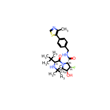 Cc1ncsc1-c1ccc(CNC(=O)[C@@H]2[C@@H](F)[C@@H](O)CN2C(=O)[C@@H](NC(C)(C)C)C(C)(C)C)cc1